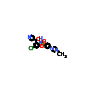 CCN1CCN(c2ccc(S(=O)(=O)Nc3ccc(Cl)cc3C(=O)c3ccncc3)cc2)CC1